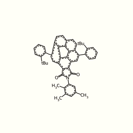 Cc1cc(C)c(C)c(-n2c(=O)c3c4cc(-c5ccccc5C(C)(C)C)c5ccc6ccc7c(-c8ccccc8C(C)(C)C)cc(c3c2=O)c2c7c6c5c42)c1